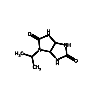 CC(C)N1C(=O)NC2NC(=O)NC21